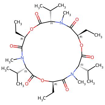 CC[C@H]1OC(=O)[C@H](C(C)C)N(C)C(=O)[C@@H](CC)OC(=O)[C@H](C(C)C)N(C)C(=O)[C@@H](CC)OC(=O)[C@H](C(C)C)N(C)C1=O